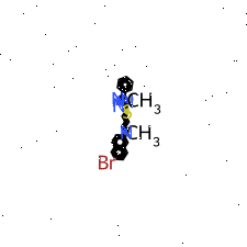 CN(CCCSc1nnc(-c2ccccc2)n1C)C1CCc2cc(Br)ccc2C1